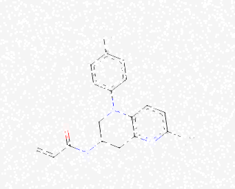 C=CC(=O)NC1Cc2nc(OC)ccc2N(c2ccc(C(F)(F)F)cc2)C1